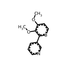 COc1ccbc(-c2cccnc2)c1OC